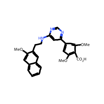 COc1cc2ccccc2cc1CCNc1cc(-c2cc(OC)c(C(=O)O)c(OC)c2)ncn1